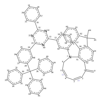 C=C1/C=C\C=C/CN(c2cccc(-c3nc(-c4ccccc4)nc(-c4cccc(C(c5ccccc5)(c5ccccc5)c5ccccc5)c4)n3)c2)c2c1ccc1c2-c2ccccc2C1(C)C